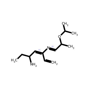 C=CC(=C\C(N)CC)/N=C/C(C)OC(C)C